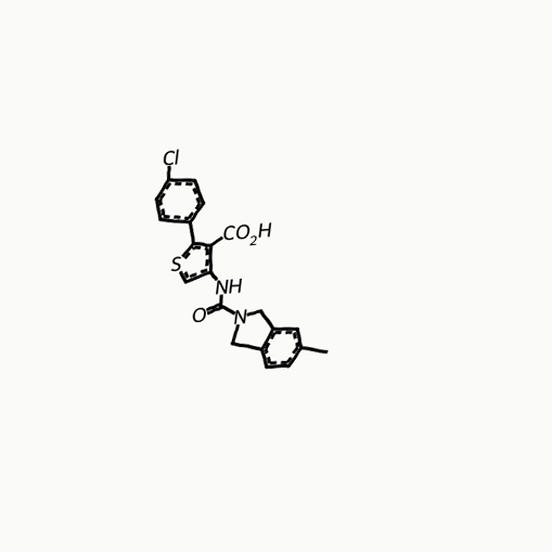 Cc1ccc2c(c1)CN(C(=O)Nc1csc(-c3ccc(Cl)cc3)c1C(=O)O)C2